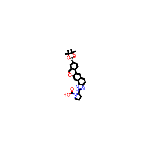 CC1(C)OB(C2=CC3=COC4=CC5C(=CC=C6N=C(C7CCCN7C(=O)O)NC65)C=C4C3C=C2)OC1(C)C